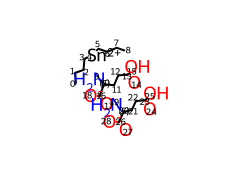 CCC[CH2][Sn+2][CH2]CCC.N[C@@H](CCC(=O)O)C(=O)[O-].N[C@@H](CCC(=O)O)C(=O)[O-]